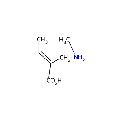 CC=C(C)C(=O)O.CN